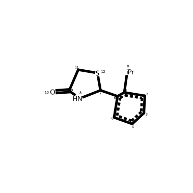 CC(C)c1ccccc1C1NC(=O)CS1